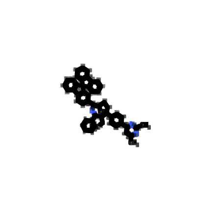 CCC1/C(c2ccccc2)=N\C(c2ccc3c(c2)C2(c4ccccc4-c4ccccc42)c2ccccc2-3)=C(/C)CCC1c1ccc(-c2cc(C)nc(C)n2)cc1